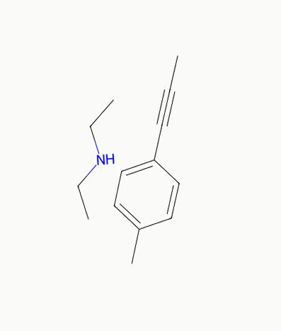 CC#Cc1ccc(C)cc1.CCNCC